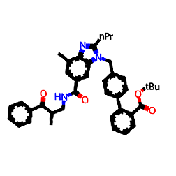 CCCc1nc2c(C)cc(C(=O)NCC(C)C(=O)c3ccccc3)cc2n1Cc1ccc(-c2ccccc2C(=O)OC(C)(C)C)cc1